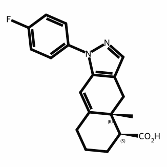 C[C@]12Cc3cnn(-c4ccc(F)cc4)c3C=C1CCC[C@@H]2C(=O)O